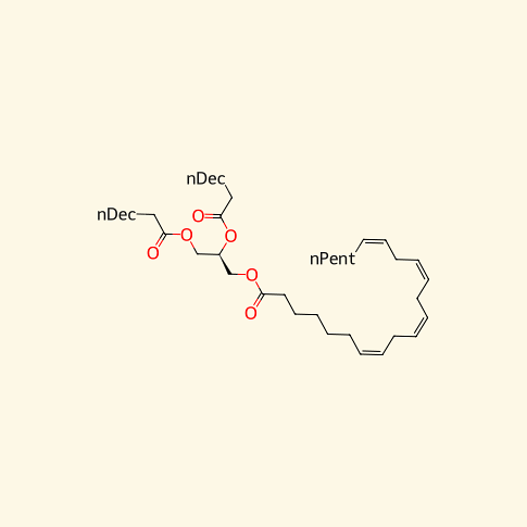 CCCCC/C=C\C/C=C\C/C=C\C/C=C\CCCCCC(=O)OC[C@@H](COC(=O)CCCCCCCCCCC)OC(=O)CCCCCCCCCCC